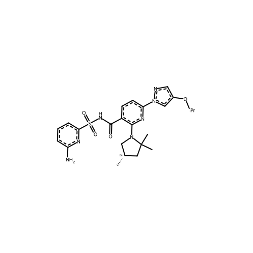 CC(C)Oc1cnn(-c2ccc(C(=O)NS(=O)(=O)c3cccc(N)n3)c(N3C[C@@H](C)CC3(C)C)n2)c1